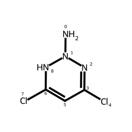 NN1N=C(Cl)C=C(Cl)N1